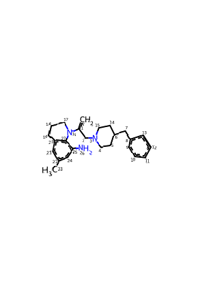 C=C(CN1CCC(Cc2ccccc2)CC1)N1CCCc2cc(C)cc(N)c21